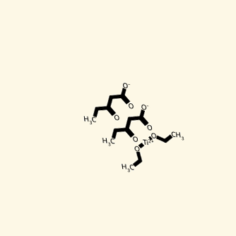 CCC(=O)CC(=O)[O-].CCC(=O)CC(=O)[O-].CC[O][Ti+2][O]CC